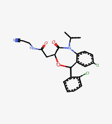 CC(C)N1C(=O)C(CC(=O)NCC#N)OC(c2ccccc2Cl)c2cc(Cl)ccc21